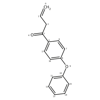 C=CCC(=O)c1ccc(Oc2ccccc2)cc1